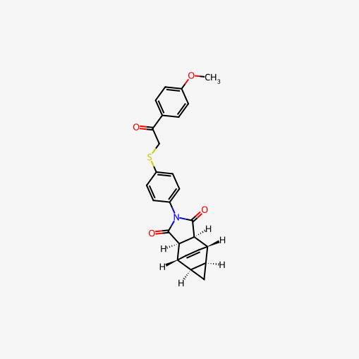 COc1ccc(C(=O)CSc2ccc(N3C(=O)[C@@H]4[C@@H]5C=C[C@@H]([C@H]6C[C@@H]56)[C@@H]4C3=O)cc2)cc1